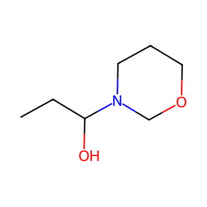 CCC(O)N1CCCOC1